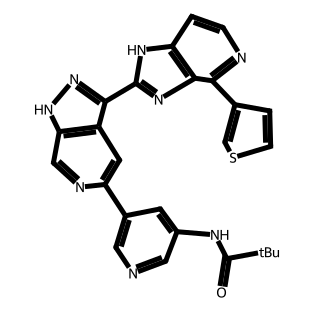 CC(C)(C)C(=O)Nc1cncc(-c2cc3c(-c4nc5c(-c6ccsc6)nccc5[nH]4)n[nH]c3cn2)c1